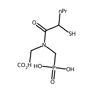 CCCC(S)C(=O)N(CC(=O)O)CP(=O)(O)O